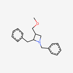 COCC1CN(Cc2ccccc2)C1Cc1ccccc1